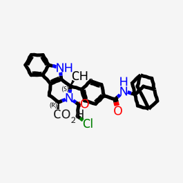 C[C@]1(c2ccc(C(=O)NC34CC5CC(CC(C5)C3)C4)cc2)c2[nH]c3ccccc3c2C[C@H](C(=O)O)N1C(=O)CCl